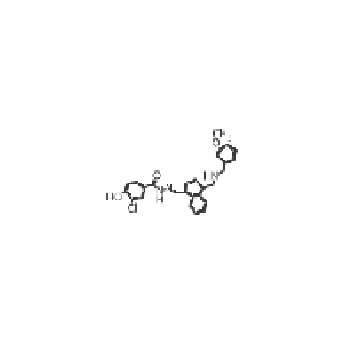 COc1cccc(CNCc2ccc(/C=N/NC(=O)c3ccc(O)c(Cl)c3)c3ccccc23)c1